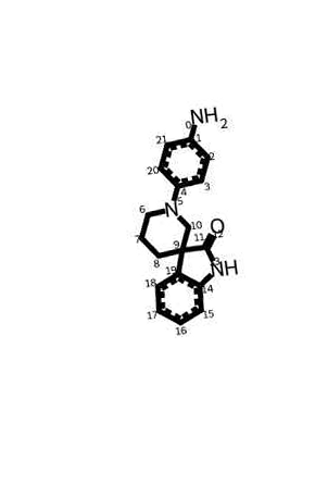 Nc1ccc(N2CCCC3(C2)C(=O)Nc2ccccc23)cc1